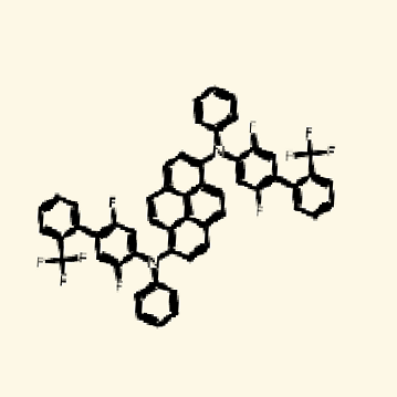 Fc1cc(N(c2ccccc2)c2ccc3ccc4c(N(c5ccccc5)c5cc(F)c(-c6ccccc6C(F)(F)F)cc5F)ccc5ccc2c3c54)c(F)cc1-c1ccccc1C(F)(F)F